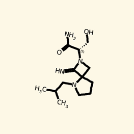 CC(C)CN1CCCC12CN([C@@H](CO)C(N)=O)C2=N